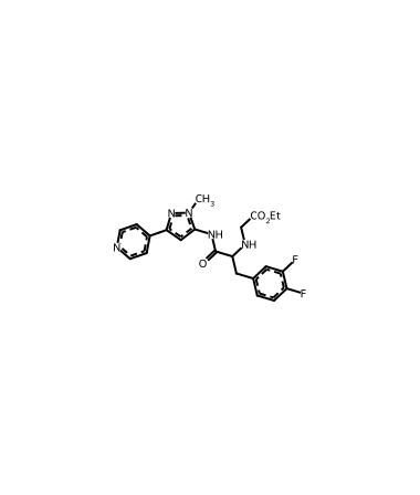 CCOC(=O)CNC(Cc1ccc(F)c(F)c1)C(=O)Nc1cc(-c2ccncc2)nn1C